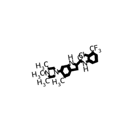 Cc1cc2c(cc1N1C[C@@H](C)N(C)[C@@H](C)C1)NC(C(=O)Nc1cccc(C(F)(F)F)c1Cl)C2